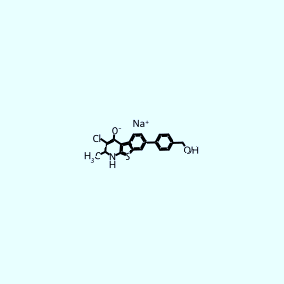 CC1Nc2sc3cc(-c4ccc(CO)cc4)ccc3c2C([O-])=C1Cl.[Na+]